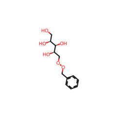 OC[C@H](O)[C@@H](O)[C@H](O)COOCc1ccccc1